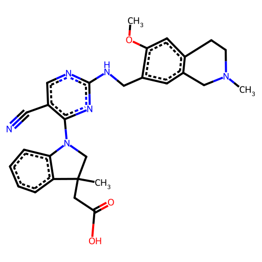 COc1cc2c(cc1CNc1ncc(C#N)c(N3CC(C)(CC(=O)O)c4ccccc43)n1)CN(C)CC2